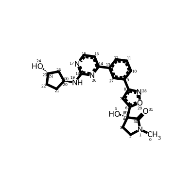 CN1CC[C@@](O)(c2cc(-c3cccc(-c4ccnc(N[C@H]5CC[C@H](O)C5)n4)c3)no2)C1=O